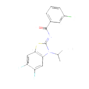 CCC(C(=O)O)n1c(=NC(=O)c2cccc(Cl)c2)sc2cc(F)c(F)cc21